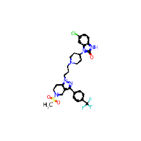 CS(=O)(=O)N1CCc2c(c(-c3ccc(C(F)(F)F)cc3)nn2CCCN2CCC(n3c(=O)[nH]c4ccc(Cl)cc43)CC2)C1